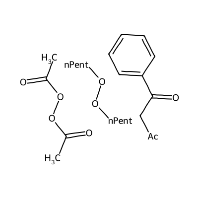 CC(=O)CC(=O)c1ccccc1.CC(=O)OOC(C)=O.CCCCCOOCCCCC